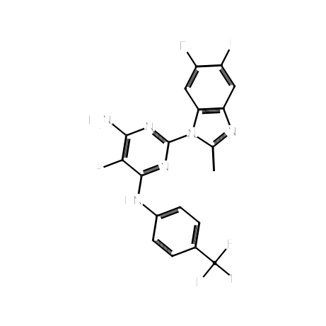 Cc1nc2cc(F)c(F)cc2n1-c1nc(N)c(F)c(Nc2ccc(C(F)(F)F)cc2)n1